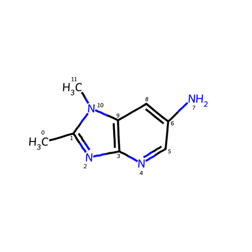 Cc1nc2ncc(N)cc2n1C